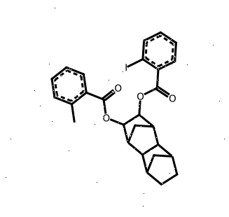 Cc1ccccc1C(=O)OC1C2CC(C1OC(=O)c1ccccc1I)C1C3CCC(C3)C21